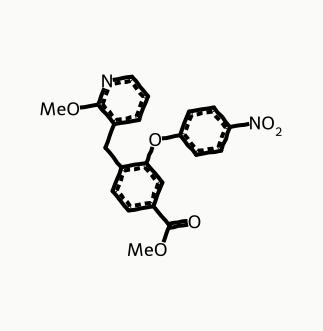 COC(=O)c1ccc(Cc2cccnc2OC)c(Oc2ccc([N+](=O)[O-])cc2)c1